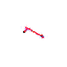 NC(=O)CCC(NC(=O)OCc1ccccc1)C(=O)NCOCCOCCOCCNC(=O)CCCCC1SCC2NC(=O)NC21